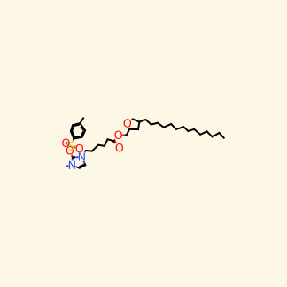 CCCCCCCCCCCCCCC1COC(COC(=O)CCCCCN2C=CN(C)C2OS(=O)(=O)c2ccc(C)cc2)C1